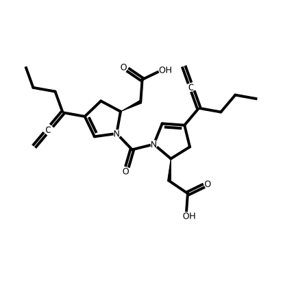 C=C=C(CCC)C1=CN(C(=O)N2C=C(C(=C=C)CCC)C[C@H]2CC(=O)O)[C@H](CC(=O)O)C1